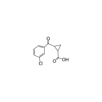 O=C(O)C1CC1C(=O)c1cccc(Cl)c1